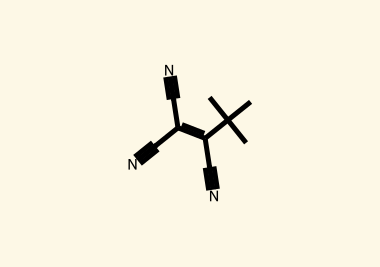 CC(C)(C)C(C#N)=C(C#N)C#N